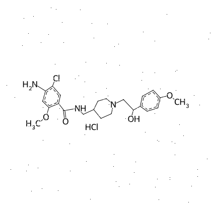 COc1ccc(C(O)CN2CCC(CNC(=O)c3cc(Cl)c(N)cc3OC)CC2)cc1.Cl